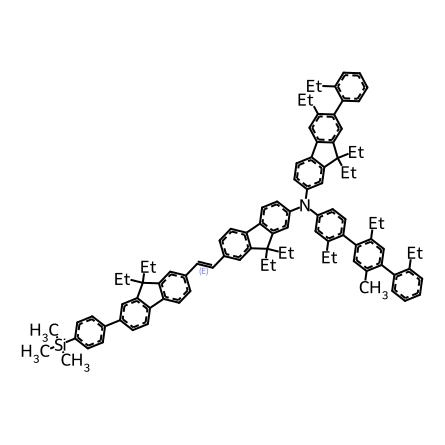 CCc1ccccc1-c1cc(CC)c(-c2ccc(N(c3ccc4c(c3)C(CC)(CC)c3cc(/C=C/c5ccc6c(c5)C(CC)(CC)c5cc(-c7ccc([Si](C)(C)C)cc7)ccc5-6)ccc3-4)c3ccc4c(c3)C(CC)(CC)c3cc(-c5ccccc5CC)c(CC)cc3-4)cc2CC)cc1C